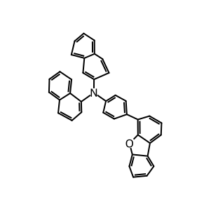 c1ccc2cc(N(c3ccc(-c4cccc5c4oc4ccccc45)cc3)c3cccc4ccccc34)ccc2c1